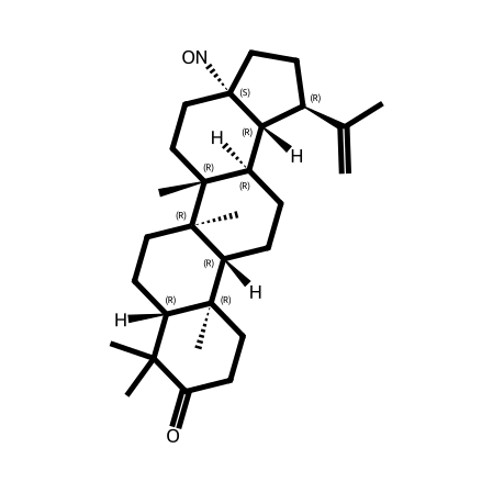 C=C(C)[C@@H]1CC[C@]2(N=O)CC[C@]3(C)[C@H](CC[C@@H]4[C@@]5(C)CCC(=O)C(C)(C)[C@@H]5CC[C@]43C)[C@@H]12